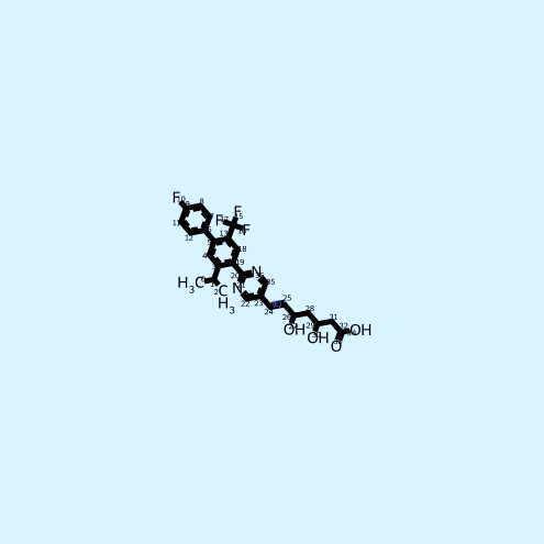 CC(C)c1cc(-c2ccc(F)cc2)c(C(F)(F)F)cc1-c1ncc(/C=C/C(O)CC(O)CC(=O)O)cn1